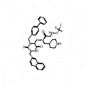 O=C1NC(Cc2ccc3ccccc3c2)C(=O)N(Cc2ccc(-c3ccccc3)cc2)C1CN(CC1CCNCC1)C(=O)CNCC(F)(F)F